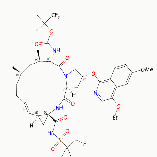 CCOc1cnc(O[C@@H]2C[C@H]3C(=O)N[C@]4(C(=O)NS(=O)(=O)C5(CF)CC5)C[C@H]4/C=C/CC[C@@H](C)C[C@@H](C)[C@H](NC(=O)OC(C)(C)C(F)(F)F)C(=O)N3C2)c2ccc(OC)cc12